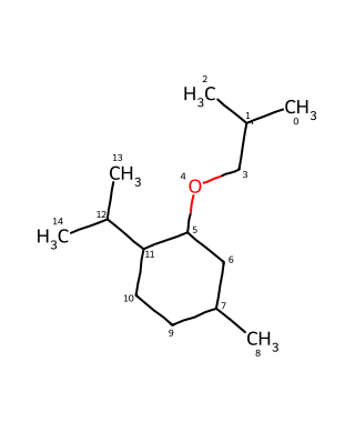 C[C](C)COC1CC(C)CCC1C(C)C